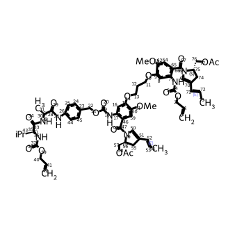 C=CCOC(=O)Nc1cc(OCCCOc2cc(NC(=O)OCc3ccc(NC(=O)[C@H](C)NC(=O)[C@@H](NC(=O)OCC=C)C(C)C)cc3)c(C(=O)N3C=C(/C=C/C)C[C@H]3COC(C)=O)cc2OC)c(OC)cc1C(=O)N1C=C(/C=C/C)C[C@H]1COC(C)=O